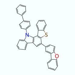 c1ccc(-c2ccc(-n3c4ccccc4c4cc(-c5ccc6oc7ccccc7c6c5)c5sc6ccccc6c5c43)cc2)cc1